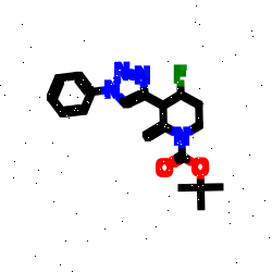 C=C1C(c2cn(-c3ccccc3)nn2)C(F)CCN1C(=O)OC(C)(C)C